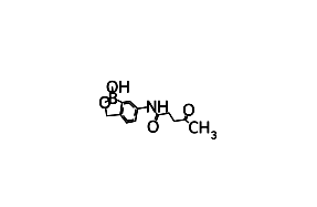 CC(=O)CCC(=O)Nc1ccc2c(c1)B(O)OC2